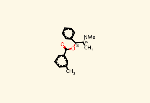 CN[C@H](C)[C@@H](OC(=O)c1cccc(C)c1)c1ccccc1